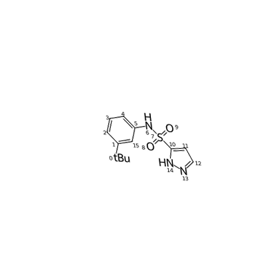 CC(C)(C)c1cccc(NS(=O)(=O)c2ccn[nH]2)c1